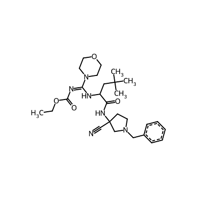 CCOC(=O)/N=C(\NC(CC(C)(C)C)C(=O)NC1(C#N)CCN(Cc2ccccc2)C1)N1CCOCC1